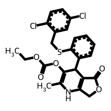 CCOC(=O)OC1=C(C)NC2=C(C(=O)OC2)C1c1ccccc1SCc1cc(Cl)ccc1Cl